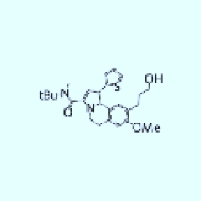 COc1cc2c(cc1CCCO)C1C(c3cccs3)C=C(C(=O)N(C)C(C)(C)C)N1CC2